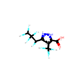 O=C(O)c1[nH]nc(C(F)C(F)(F)C(F)F)c1C(F)(F)F